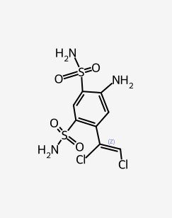 Nc1cc(/C(Cl)=C/Cl)c(S(N)(=O)=O)cc1S(N)(=O)=O